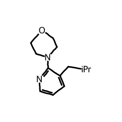 CC(C)Cc1cccnc1N1CCOCC1